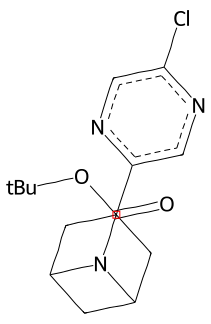 CC(C)(C)OC(=O)N1C2CC(c3cnc(Cl)cn3)CC1C2